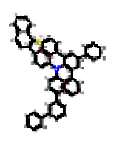 c1ccc(-c2cccc(-c3ccc(N(c4ccc5c(c4)sc4c6ccccc6ccc54)c4c(-c5ccccc5)cc(-c5ccccc5)cc4-c4ccccc4)cc3)c2)cc1